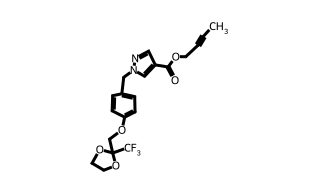 CC#CCOC(=O)c1cnn(Cc2ccc(OCC3(C(F)(F)F)OCCO3)cc2)c1